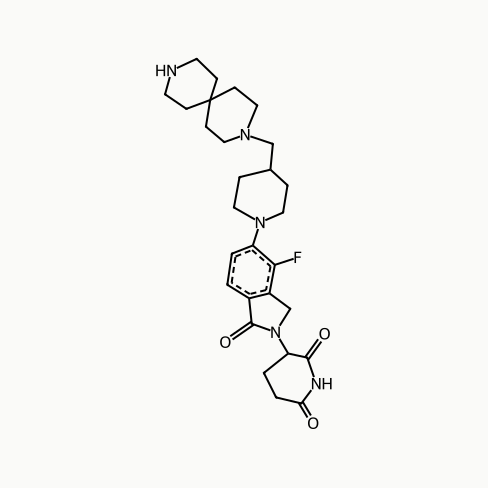 O=C1CCC(N2Cc3c(ccc(N4CCC(CN5CCC6(CCNCC6)CC5)CC4)c3F)C2=O)C(=O)N1